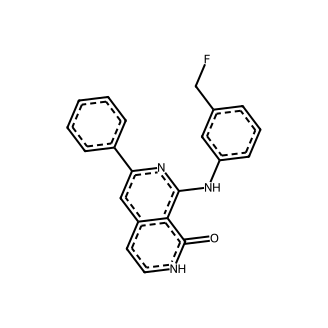 O=c1[nH]ccc2cc(-c3ccccc3)nc(Nc3cccc(CF)c3)c12